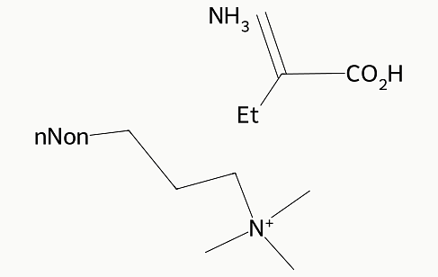 C=C(CC)C(=O)O.CCCCCCCCCCCC[N+](C)(C)C.N